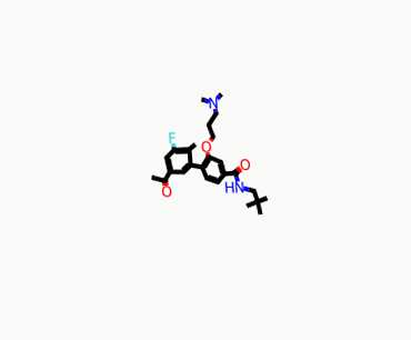 CC(=O)c1cc(F)c(C)c(-c2ccc(C(=O)NCC(C)(C)C)cc2OCCCN(C)C)c1